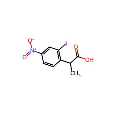 CC(C(=O)O)c1ccc([N+](=O)[O-])cc1I